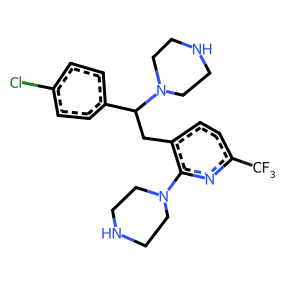 FC(F)(F)c1ccc(CC(c2ccc(Cl)cc2)N2CCNCC2)c(N2CCNCC2)n1